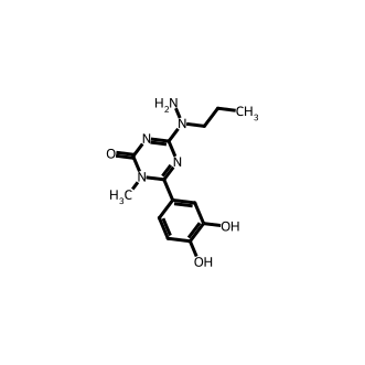 CCCN(N)c1nc(-c2ccc(O)c(O)c2)n(C)c(=O)n1